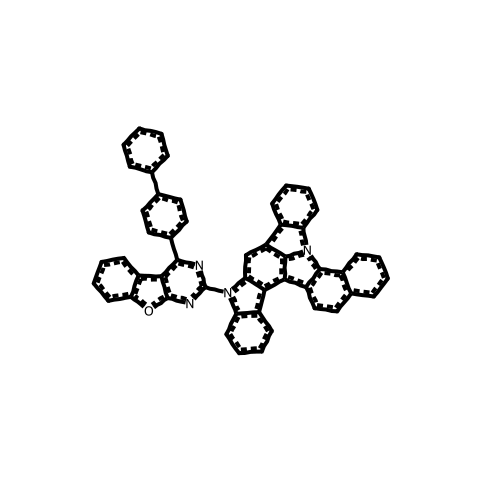 c1ccc(-c2ccc(-c3nc(-n4c5ccccc5c5c6c7ccc8ccccc8c7n7c8ccccc8c(cc54)c67)nc4oc5ccccc5c34)cc2)cc1